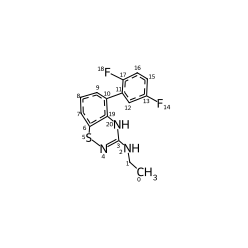 CCNC1=NSc2cccc(-c3cc(F)ccc3F)c2N1